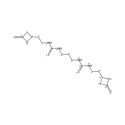 O=C1CC(CCNC(=S)NCCCNC(=S)NCCC2CC(=O)O2)O1